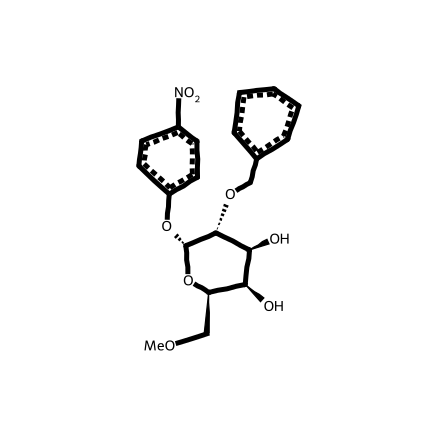 COC[C@H]1O[C@H](Oc2ccc([N+](=O)[O-])cc2)[C@H](OCc2ccccc2)[C@@H](O)[C@H]1O